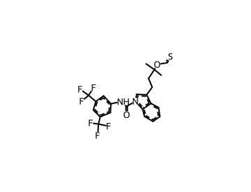 CC(C)(CCc1cn(C(=O)Nc2cc(C(F)(F)F)cc(C(F)(F)F)c2)c2ccccc12)OC=S